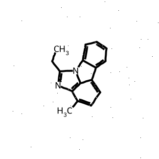 CCc1nc2c(C)ccc3c4ccccc4n1c23